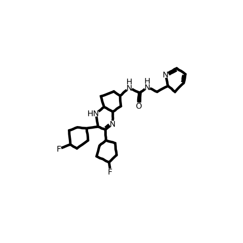 O=C(NCC1CC=CC=N1)NC1CCC2NC(C3CCC(F)CC3)C(C3CCC(F)CC3)=NC2C1